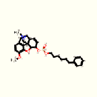 COc1ccc2c3c1OC1C(O[S@](=O)OCCCCCCc4ccccc4)C=CC4C(C2)N(C)CCC341